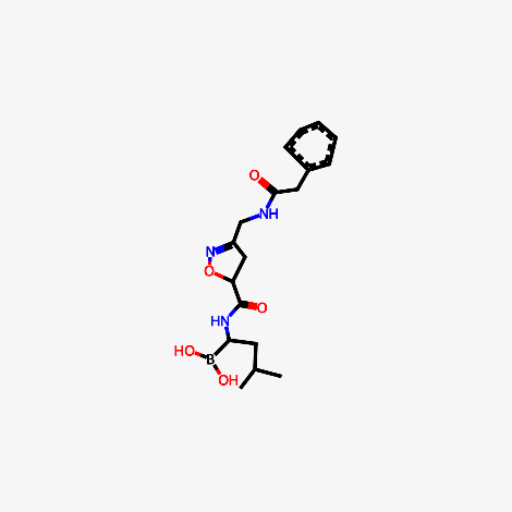 CC(C)CC(NC(=O)C1CC(CNC(=O)Cc2ccccc2)=NO1)B(O)O